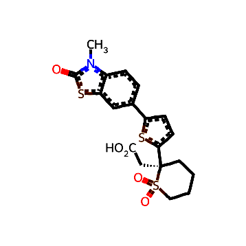 Cn1c(=O)sc2cc(-c3ccc([C@@]4(CC(=O)O)CCCCS4(=O)=O)s3)ccc21